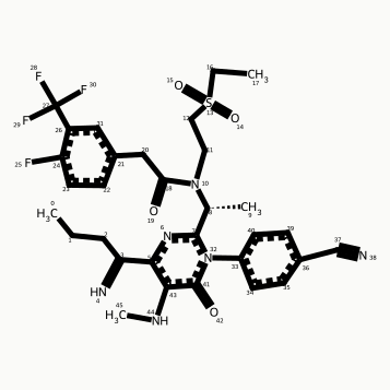 CCCC(=N)c1nc([C@@H](C)N(CCS(=O)(=O)CC)C(=O)Cc2ccc(F)c(C(F)(F)F)c2)n(-c2ccc(C#N)cc2)c(=O)c1NC